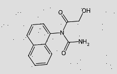 NC(=O)N(C(=O)CO)c1cccc2ccccc12